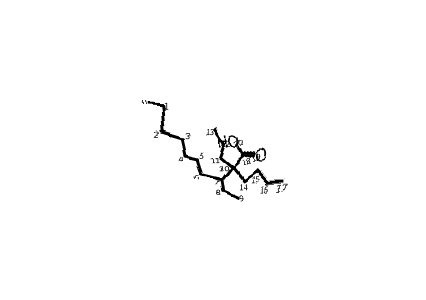 CCCCCCCC(CC)C(CCC)(CCCC)C(=O)O